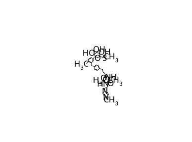 CS#CC1O[C@@H](c2ccc(C)c(Cc3ccc(CCCC(=O)NC(C)(C)C(=O)NCCN4CCN(C)CC4)cc3)c2)[C@H](O)[C@@H](O)[C@@H]1O